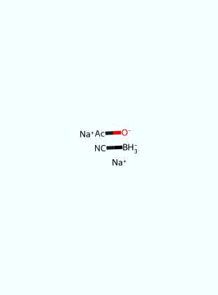 CC(=O)[O-].[BH3-]C#N.[Na+].[Na+]